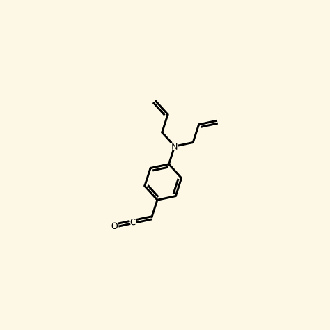 C=CCN(CC=C)c1ccc(C=C=O)cc1